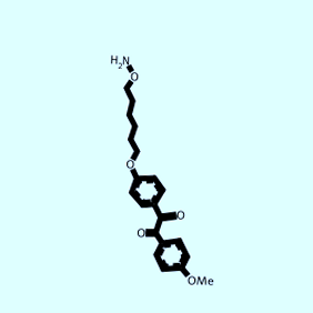 COc1ccc(C(=O)C(=O)c2ccc(OCCCCCCON)cc2)cc1